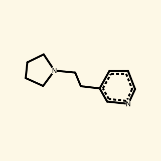 c1cncc(CCN2CCCC2)c1